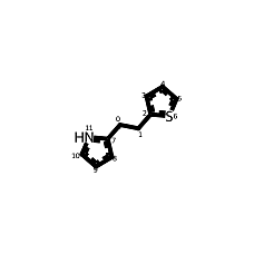 [CH](Cc1cccs1)c1ccc[nH]1